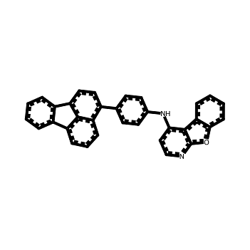 c1ccc2c(c1)-c1cccc3c(-c4ccc(Nc5ccnc6oc7ccccc7c56)cc4)ccc-2c13